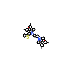 Cc1ccc(C2(c3ccc(C)cc3)c3ccccc3N(c3ccc4cc(N5c6ccccc6C(c6ccc(C)cc6)(c6ccc(C)cc6)c6cc7c(cc65)sc5ccccc57)ccc4c3)c3ccccc32)cc1